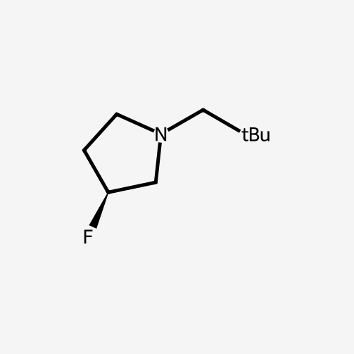 CC(C)(C)CN1CC[C@H](F)C1